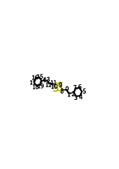 C(=C\c1ccccc1)/CSSC/C=C/c1ccccc1